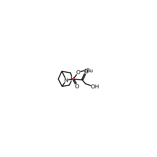 CC(C)(C)OC(=O)N1C2CC1CN(C(=O)CO)C2